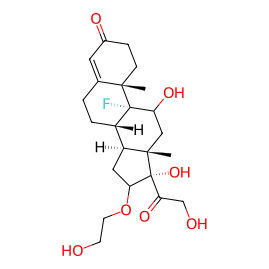 C[C@]12CCC(=O)C=C1CC[C@H]1[C@@H]3CC(OCCO)[C@](O)(C(=O)CO)[C@@]3(C)CC(O)[C@@]12F